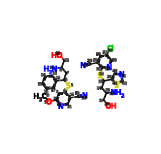 COc1cc(SC(CC(N)CO)c2ccccc2)c(C#N)cn1.N#Cc1cc(Cl)cnc1SC(CC(N)CO)c1cncs1